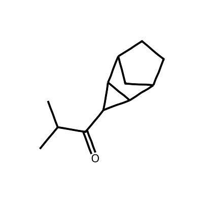 CC(C)C(=O)C1C2C3CCC(C3)C12